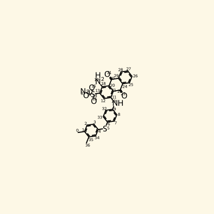 Cc1ccc(Sc2ccc(Nc3cc(S(=O)(=O)[O-])c(N)c4c3C(=O)c3ccccc3C4=O)cc2)cc1C.[Na+]